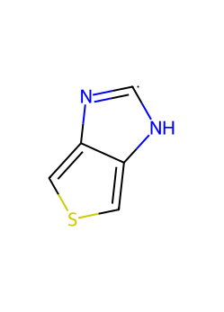 [c]1nc2cscc2[nH]1